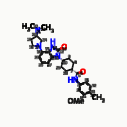 COc1cc(NC(=O)[C@H]2CC[C@@H](n3c(=O)[nH]c4c(N5CCC(N(C)C)C5)cccc43)CC2)ccc1C